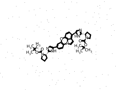 CC(C)(C)OC(=O)N1CCC[C@H]1c1ncc(-c2ccc3c(c2)Oc2ccc(-c4cnc([C@@H]5CCCN5C(=O)OC(C)(C)C)[nH]4)c4ccn-3c24)[nH]1